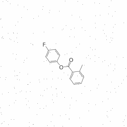 Cc1ccccc1C(=O)Oc1ccc(F)cc1